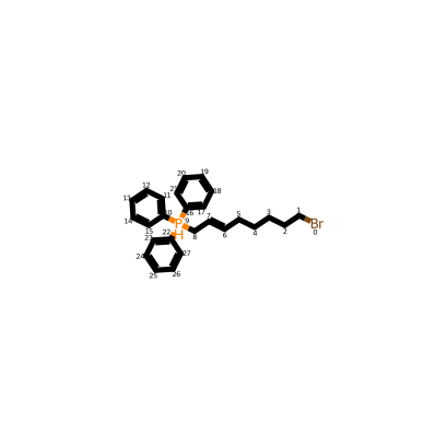 BrCCCCCC=CC[PH](c1ccccc1)(c1ccccc1)c1ccccc1